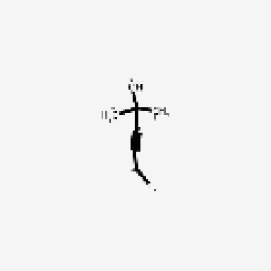 CC(C)(O)C#CCI